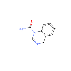 NC(=O)N1C=NCc2c[c]ccc21